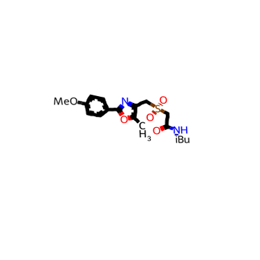 CCC(C)NC(=O)CS(=O)(=O)Cc1nc(-c2ccc(OC)cc2)oc1C